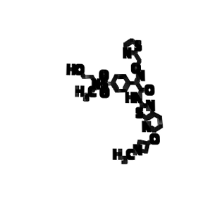 CN1CC(Oc2ccc3nc(NC(=O)/C(=N/OCc4nccs4)c4ccc(S(=O)(=O)N(C)CCO)cc4)sc3n2)C1